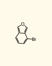 Brc1cccc2cocc12